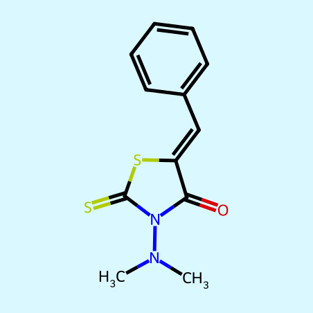 CN(C)N1C(=O)C(=Cc2ccccc2)SC1=S